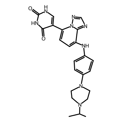 CC(C)N1CCN(c2ccc(Nc3ccc(-c4c[nH]c(=O)[nH]c4=O)n4ncnc34)cc2)CC1